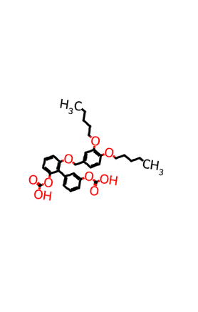 CCCCCOc1ccc(COc2cccc(OC(=O)O)c2-c2cccc(OC(=O)O)c2)cc1OCCCCC